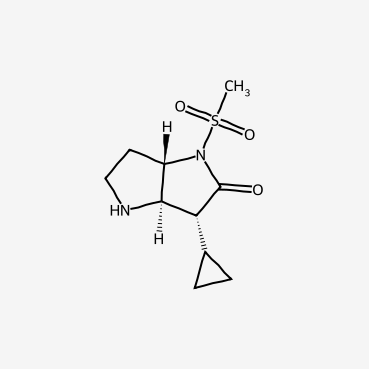 CS(=O)(=O)N1C(=O)[C@H](C2CC2)[C@H]2NCC[C@@H]21